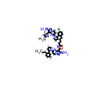 CCCc1ccc(F)cc1C1CCCN1c1ccn2nc(N)c(-c3nc(CCCCc4ccc(F)cc4C4CCCN4c4ccn5nc(N)c(-c6nc(C)cs6)c5n4)co3)c2n1